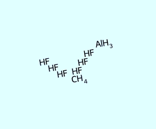 C.F.F.F.F.F.F.[AlH3]